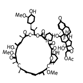 CC(=O)OCC(=O)[C@@]1(O)[C@H](C)C[C@H]2[C@@H]3CCC4=CC(=O)C=C[C@]4(C)[C@@]3(F)C(O)C[C@@]21C.CO[C@H]1C[C@@H]2CC[C@@H](C)[C@@](O)(O2)C(=O)C(=O)N2CCCC[C@H]2C(=O)O[C@H]([C@H](C)C[C@@H]2CC[C@@H](O)[C@H](OC)C2)CC(=O)[C@H](C)/C=C(\C)[C@@H](O)[C@@H](OC)C(=O)[C@H](C)C[C@H](C)/C=C/C=C/C=C/1C